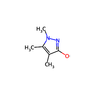 Cc1c([O])nn(C)c1C